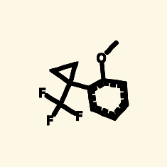 COc1ccccc1C1(C(F)(F)F)CC1